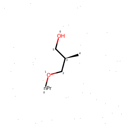 CCCOC[C@H](C)CO